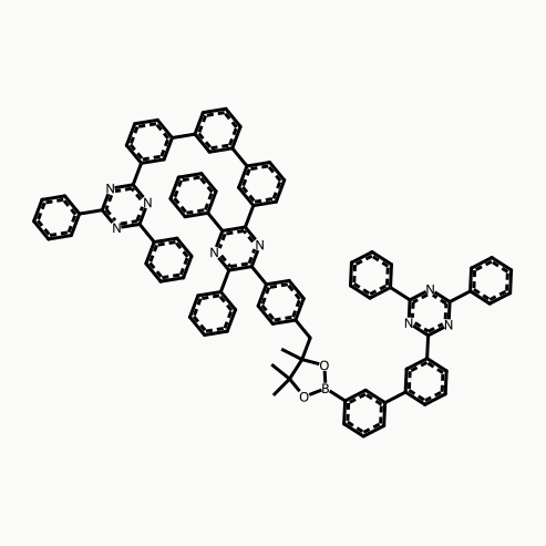 CC1(C)OB(c2cccc(-c3cccc(-c4nc(-c5ccccc5)nc(-c5ccccc5)n4)c3)c2)OC1(C)Cc1ccc(-c2nc(-c3cccc(-c4cccc(-c5cccc(-c6nc(-c7ccccc7)nc(-c7ccccc7)n6)c5)c4)c3)c(-c3ccccc3)nc2-c2ccccc2)cc1